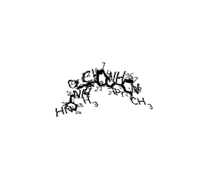 Cc1cc(-c2[nH]c3ccc(C(C)(C)C(=O)NCC4CCNC4)cc3c2C(C)C)ccn1